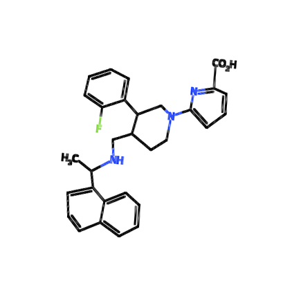 CC(NCC1CCN(c2cccc(C(=O)O)n2)CC1c1ccccc1F)c1cccc2ccccc12